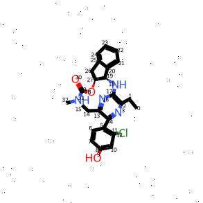 CCc1nc(-c2ccc(O)cc2Cl)c(CC)nc1N[C@@H]1c2ccccc2C[C@@H]1OC(=O)NC